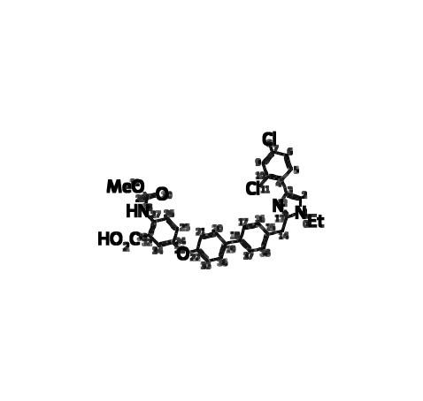 CCn1cc(-c2ccc(Cl)cc2Cl)nc1Cc1ccc(-c2ccc(Oc3ccc(NC(=O)OC)c(C(=O)O)c3)cc2)cc1